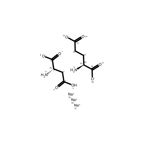 N[C@@H](CC(=O)O)C(=O)[O-].N[C@@H](CCC(=O)[O-])C(=O)[O-].[Na+].[Na+].[Na+]